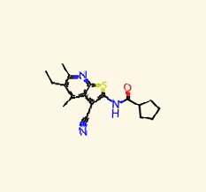 CCc1c(C)nc2sc(NC(=O)C3CCCC3)c(C#N)c2c1C